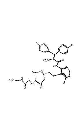 C[C@H]1O[C@H](CCc2c(F)cccc2NC(=O)[C@@H](N)C(c2ccc(F)cc2)c2ccc(F)cc2)CN[C@@H]1COC(=O)NCC(F)(F)F